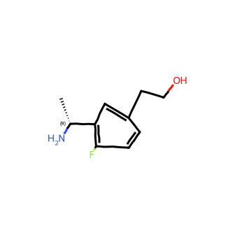 C[C@@H](N)c1cc(CCO)ccc1F